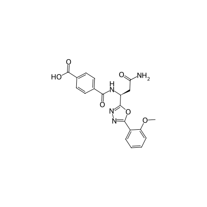 COc1ccccc1-c1nnc([C@H](CC(N)=O)NC(=O)c2ccc(C(=O)O)cc2)o1